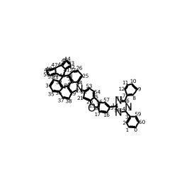 c1ccc(-c2nc(-c3ccccc3)nc(-c3ccc4oc5cc(-n6c7cccc8c7c7c9c(cccc9ccc76)C86c7ccccc7-c7ccccc76)ccc5c4c3)n2)cc1